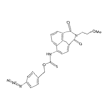 COCCN1C(=O)c2cccc3c(NC(=S)OCc4ccc(N=[N+]=[N-])cc4)ccc(c23)C1=O